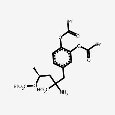 CCOC(=O)O[C@@H](C)CC(N)(Cc1ccc(OC(=O)C(C)C)c(OC(=O)C(C)C)c1)C(=O)O